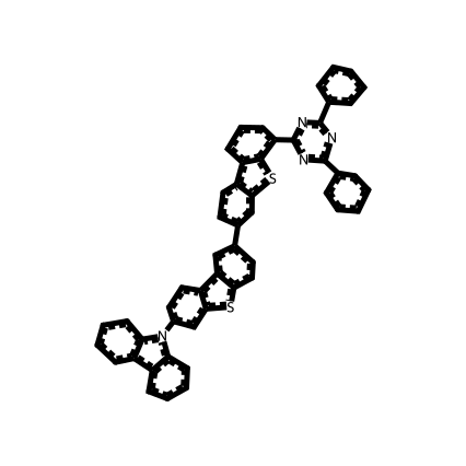 c1ccc(-c2nc(-c3ccccc3)nc(-c3cccc4c3sc3cc(-c5ccc6sc7cc(-n8c9ccccc9c9ccccc98)ccc7c6c5)ccc34)n2)cc1